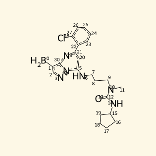 Bc1cnn2c(NCCCN(C)C(=O)NC3CCCC3)cc(-c3ccccc3Cl)nc12